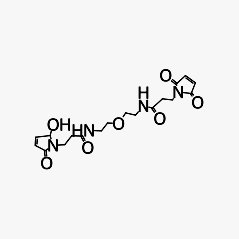 O=C(CCN1C(=O)C=CC1=O)NCCOCCNC(=O)CCN1C(=O)C=CC1O